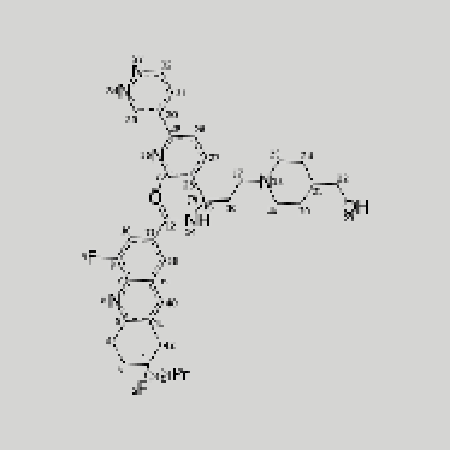 CC(C)[C@]1(F)CCc2nc3c(F)cc(C(=O)N[C@H](CCN4CCC(CO)CC4)c4ccc(-c5ccnnc5)nc4)cc3cc2C1